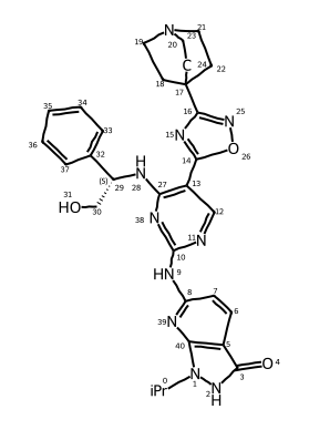 CC(C)n1[nH]c(=O)c2ccc(Nc3ncc(-c4nc(C56CCN(CC5)CC6)no4)c(N[C@H](CO)c4ccccc4)n3)nc21